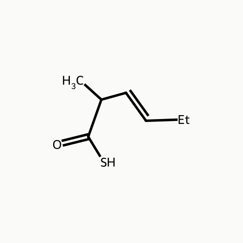 CCC=CC(C)C(=O)S